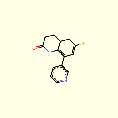 O=C1CCC2CC(F)=CC(c3cccnc3)=C2N1